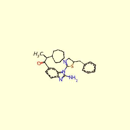 CC(C(=O)c1ccc2nc(N)n(C3=NCC(Cc4ccccc4)S3)c2c1)C1CCCCCC1